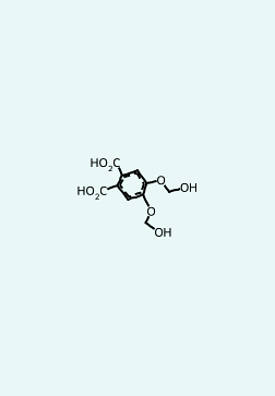 O=C(O)c1cc(OCO)c(OCO)cc1C(=O)O